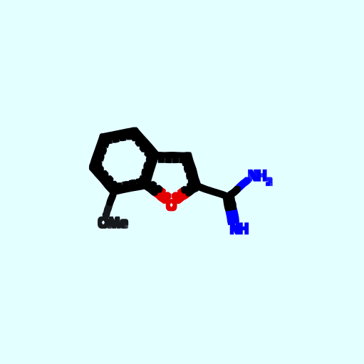 COc1cccc2cc(C(=N)N)oc12